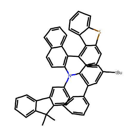 CC(C)(C)c1ccc(N(c2ccc3c(c2)-c2ccccc2C3(C)C)c2ccc3ccccc3c2-c2cccc3sc4ccccc4c23)c(-c2ccccc2)c1